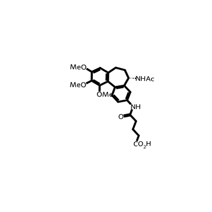 COc1cc2c(c(OC)c1OC)-c1ccc(NC(=O)CCCC(=O)O)cc1[C@@H](NC(C)=O)CC2